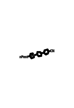 CCCCCC1CC[SiH](c2ccc(-c3ccc(C#N)cc3)cc2)CC1